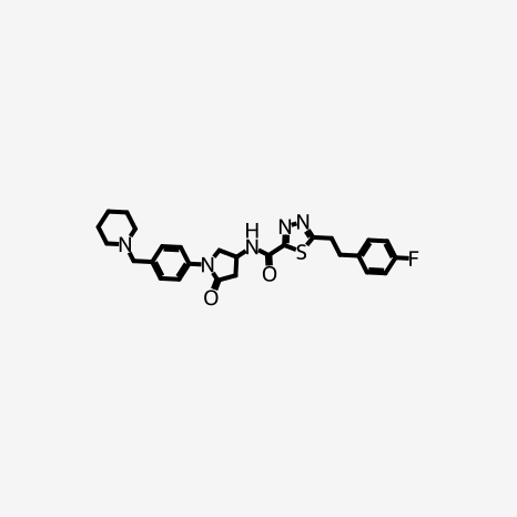 O=C(NC1CC(=O)N(c2ccc(CN3CCCCC3)cc2)C1)c1nnc(CCc2ccc(F)cc2)s1